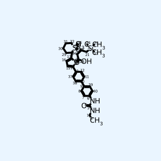 CCNC(=O)Nc1ccc(-c2ccc(-c3ccc([C@@]4(C(CC[Si](C)(C)C)C(=O)O)CCCCS4(=O)=O)s3)cc2)cc1